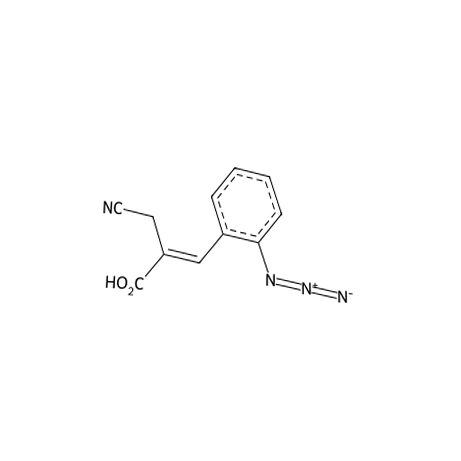 N#CC/C(=C\c1ccccc1N=[N+]=[N-])C(=O)O